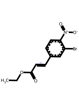 CCOC(=O)/C=C/c1ccc([N+](=O)[O-])c(Br)c1